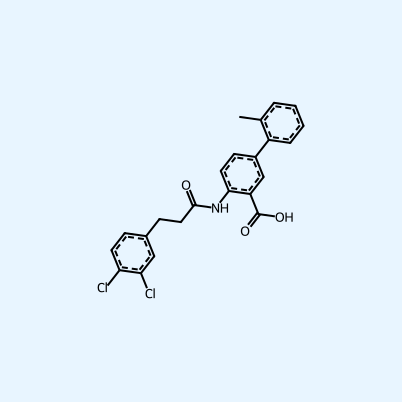 Cc1ccccc1-c1ccc(NC(=O)CCc2ccc(Cl)c(Cl)c2)c(C(=O)O)c1